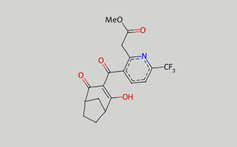 COC(=O)Cc1nc(C(F)(F)F)ccc1C(=O)C1=C(O)C2CCC(C2)C1=O